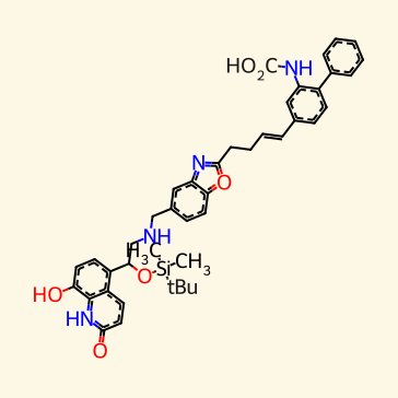 CC(C)(C)[Si](C)(C)OC(CNCc1ccc2oc(CC/C=C/c3ccc(-c4ccccc4)c(NC(=O)O)c3)nc2c1)c1ccc(O)c2[nH]c(=O)ccc12